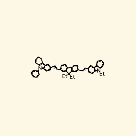 CCn1c2ccccc2c2cc(/C=C/c3ccc4c(c3)C(CC)(CC)c3cc(/C=C/c5ccc6c(c5)c5c(n6-c6ccccc6)C=CCC5)ccc3-4)ccc21